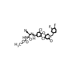 CCOC(=O)NC(=O)C(C#N)=NNc1cc(Cl)c(Oc2ccc(=O)n(Cc3ccc(F)c(F)c3)c2)c(Cl)c1